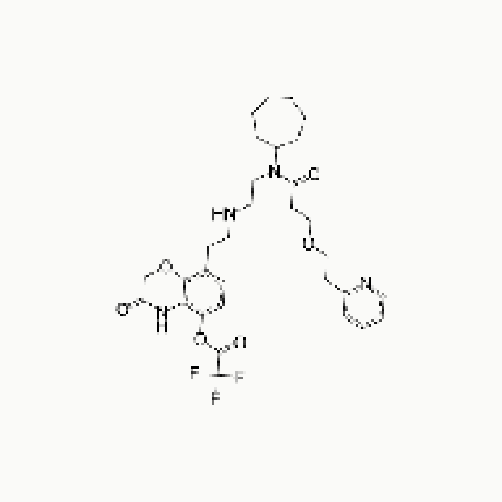 O=C1COc2c(CCNCCN(C(=O)CCOCCc3ccccn3)C3CCCCCC3)ccc(OC(=O)C(F)(F)F)c2N1